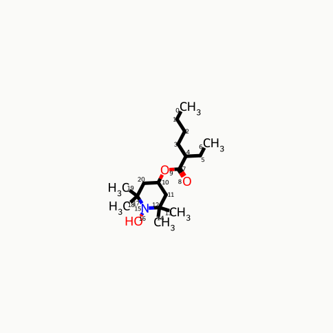 CCCCC(CC)C(=O)OC1CC(C)(C)N(O)C(C)(C)C1